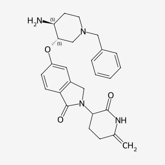 C=C1CCC(N2Cc3cc(O[C@H]4CN(Cc5ccccc5)CC[C@@H]4N)ccc3C2=O)C(=O)N1